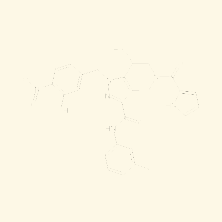 Cc1cccc(NC(=O)c2nn(Cc3ccc([N+](=O)[O-])c(C)c3)c3c2CN(C(=O)c2ccc[nH]2)CC3C)c1